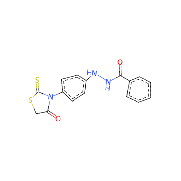 O=C(NNc1ccc(N2C(=O)CSC2=S)cc1)c1ccccc1